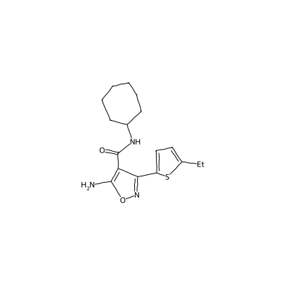 CCc1ccc(-c2noc(N)c2C(=O)NC2CCCCCC2)s1